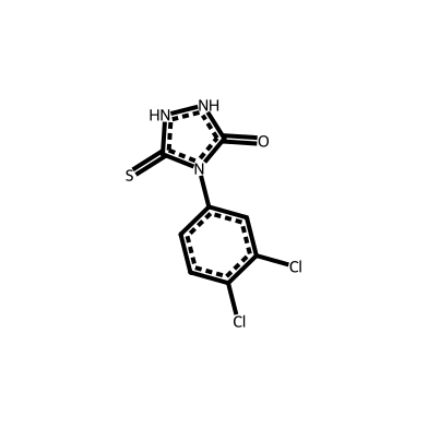 O=c1[nH][nH]c(=S)n1-c1ccc(Cl)c(Cl)c1